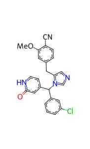 COc1cc(Cc2cncn2C(c2cccc(Cl)c2)c2cc[nH]c(=O)c2)ccc1C#N